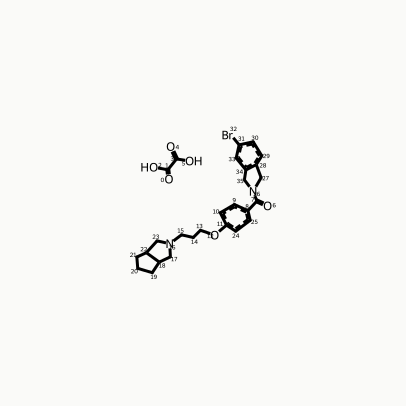 O=C(O)C(=O)O.O=C(c1ccc(OCCCN2CC3CCCC3C2)cc1)N1Cc2ccc(Br)cc2C1